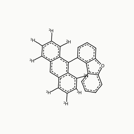 [2H]c1c([2H])c([2H])c2c(-c3cccc4oc5ccccc5c34)c3c([2H])c([2H])c([2H])c([2H])c3cc2c1[2H]